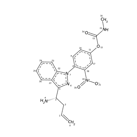 C=CC[C@H](N)c1nn(-c2ccc(OC(=O)NC)cc2[N+](=O)[O-])c2ccccc12